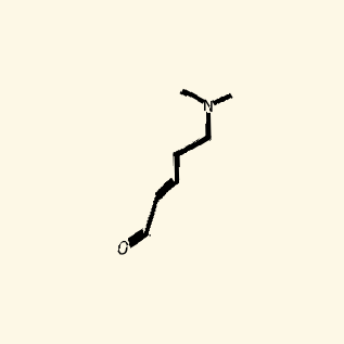 CN(C)CCC=C[C]=O